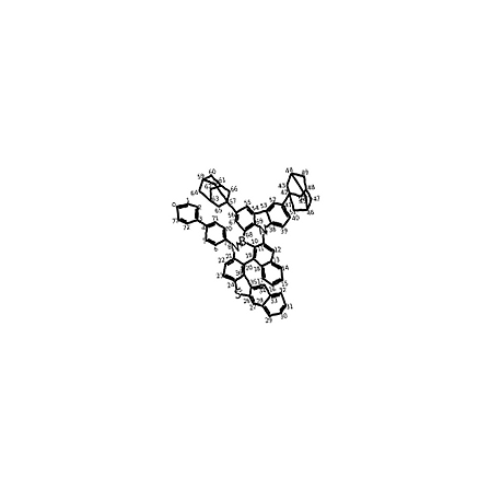 c1ccc(-c2ccc(N3B4c5c(cc6ccccc6c5-c5c3ccc3sc6cc7ccccc7cc6c53)-n3c5ccc(C67CC8CC(CC(C8)C6)C7)cc5c5cc(C67CC8CC(CC(C8)C6)C7)cc4c53)cc2)cc1